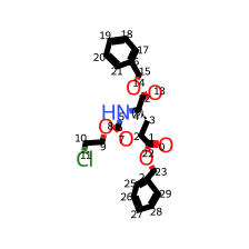 O=C(CC[C@H](NC(=O)OCCCl)C(=O)OCc1ccccc1)OCc1ccccc1